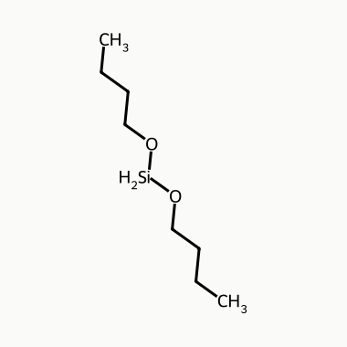 CCCCO[SiH2]OCCCC